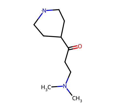 CN(C)CCC(=O)C1CC[N]CC1